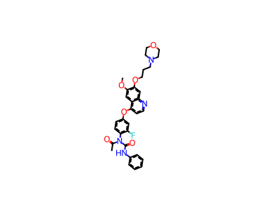 COc1cc2c(Oc3ccc(N(C(C)=O)C(=O)Nc4ccccc4)c(F)c3)ccnc2cc1OCCCN1CCOCC1